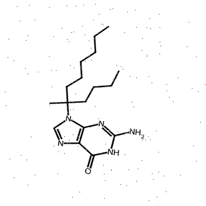 CCCCCCC(C)(CCCC)n1cnc2c(=O)[nH]c(N)nc21